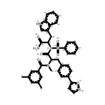 Cc1cc(C)cc(C(=O)N(C)C(Cc2ccc(-c3ccno3)cc2)C(=O)N(C(Cc2c[nH]c3ccccc23)C(N)=O)S(=O)(=O)c2ccccc2)c1